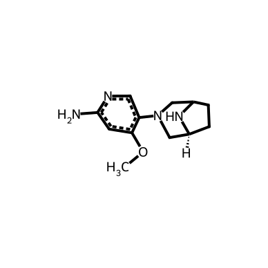 COc1cc(N)ncc1N1CC2CC[C@@H](C1)N2